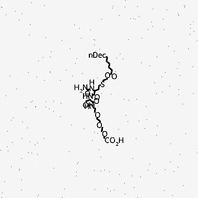 CCCCCCCCCCCCCCCC(=O)OCCSCCC(NC(N)=O)C(=O)NC(CO)C(=O)NCCOCCOCCOCC(=O)O